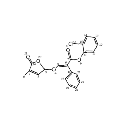 CC1=CC(O/C=C(/C(=O)Oc2ccccc2Cl)c2ccccc2)OC1=O